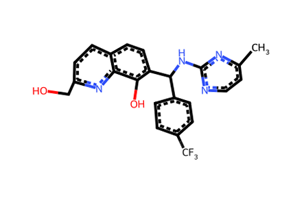 Cc1ccnc(NC(c2ccc(C(F)(F)F)cc2)c2ccc3ccc(CO)nc3c2O)n1